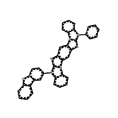 c1ccc(-n2c3ccccc3n3c4cc5nc6n(-c7ccc8oc9ccccc9c8c7)c7ccccc7n6c5cc4nc23)cc1